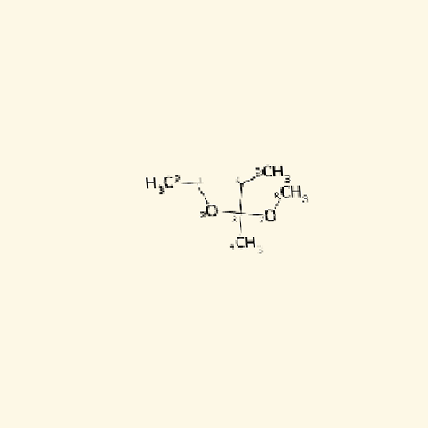 CCOC(C)(CC)OC